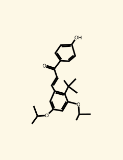 CC(C)Oc1cc(C=CC(=O)c2ccc(O)cc2)c(C(C)(C)C)c(OC(C)C)c1